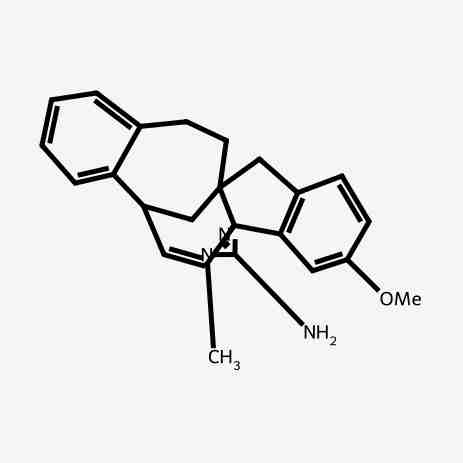 COc1ccc2c(c1)C13N=C(N)N(C)C1=CC1CC3(CCc3ccccc31)C2